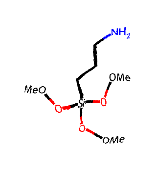 COO[Si](CCCN)(OOC)OOC